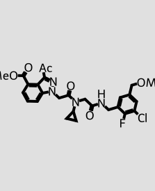 COCc1cc(Cl)c(F)c(CNC(=O)CN(C(=O)Cn2nc(C(C)=O)c3c(C(=O)OC)cccc32)C2CC2)c1